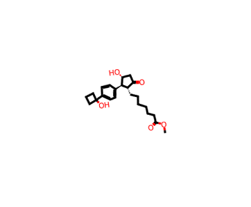 COC(=O)CCCCCC[C@H]1C(=O)C[C@@H](O)[C@@H]1c1ccc(C2(O)CCC2)cc1